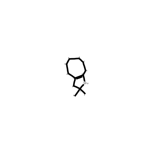 CC1(C)CC2=C(CCCCCC2)O1